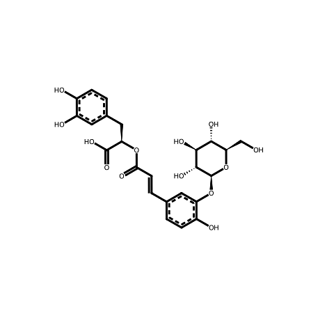 O=C(/C=C/c1ccc(O)c(O[C@@H]2O[C@H](CO)[C@@H](O)[C@H](O)[C@H]2O)c1)O[C@H](Cc1ccc(O)c(O)c1)C(=O)O